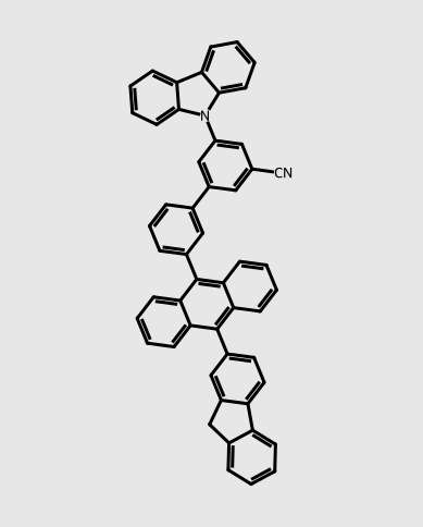 N#Cc1cc(-c2cccc(-c3c4ccccc4c(-c4ccc5c(c4)Cc4ccccc4-5)c4ccccc34)c2)cc(-n2c3ccccc3c3ccccc32)c1